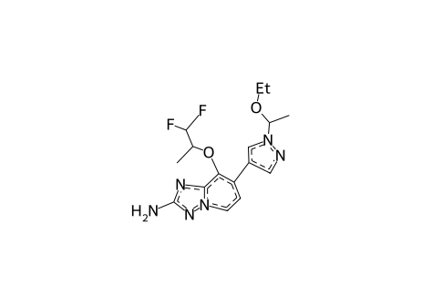 CCOC(C)n1cc(-c2ccn3nc(N)nc3c2OC(C)C(F)F)cn1